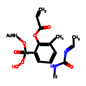 C=CC(=O)Oc1c(C)cccc1[As](=O)(OO)ONC(C)=O.CC=NC(=O)NCC